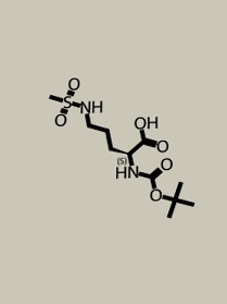 CC(C)(C)OC(=O)N[C@@H](CCCNS(C)(=O)=O)C(=O)O